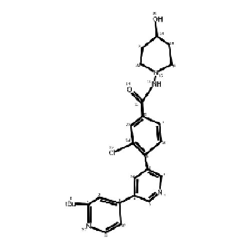 CC(C)(C)c1cc(-c2cncc(-c3ccc(C(=O)NN4CCC(O)CC4)cc3Cl)c2)ccn1